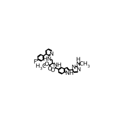 CNc1nccc(-c2cc3cc(C(=O)NC(CNc4ncccc4-c4ccc(F)cc4)C(=O)OC)ccc3[nH]2)n1